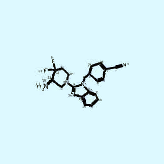 N#Cc1ccc(Cn2c(N3CCC(F)(F)C(N)C3)nc3ccccc32)cc1